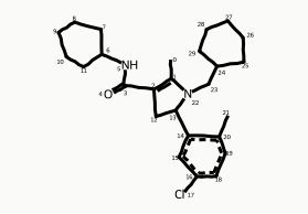 CC1=C(C(=O)NC2CCCCC2)CC(c2cc(Cl)ccc2C)N1CC1CCCCC1